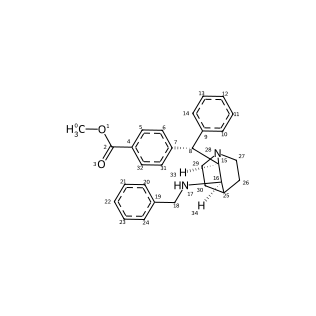 COC(=O)c1ccc([C@H](c2ccccc2)[C@@H]2[C@H](NCc3ccccc3)C3CCN2CC3)cc1